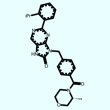 CC(C)c1ccccc1-c1ncc2[nH]c(=O)n(Cc3ccc(C(=O)N4CCOC[C@H]4C)cc3)c2n1